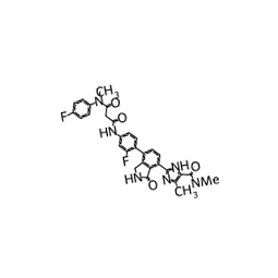 CNC(=O)c1[nH]c(-c2ccc(-c3ccc(NC(=O)CC(=O)N(C)c4ccc(F)cc4)cc3F)c3c2C(=O)NC3)nc1C